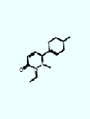 CCN1C(=O)C=CC(C2=CCC(C)CC2)N1C